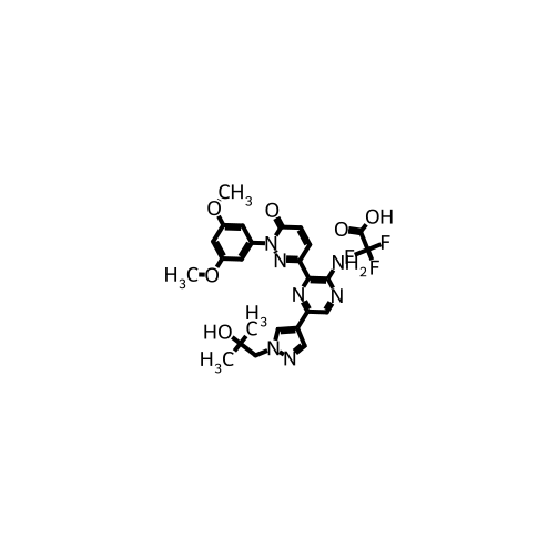 COc1cc(OC)cc(-n2nc(-c3nc(-c4cnn(CC(C)(C)O)c4)cnc3N)ccc2=O)c1.O=C(O)C(F)(F)F